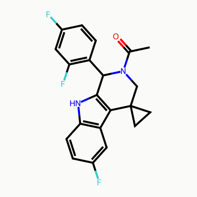 CC(=O)N1CC2(CC2)c2c([nH]c3ccc(F)cc23)C1c1ccc(F)cc1F